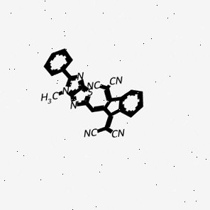 Cn1c(-c2ccccc2)nc2sc(C=C3C(=C(C#N)C#N)c4ccccc4C3=C(C#N)C#N)nc21